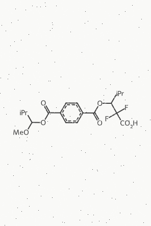 COC(OC(=O)c1ccc(C(=O)OC(C(C)C)C(F)(F)C(=O)O)cc1)C(C)C